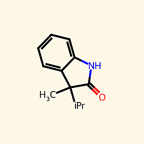 CC(C)C1(C)C(=O)Nc2ccccc21